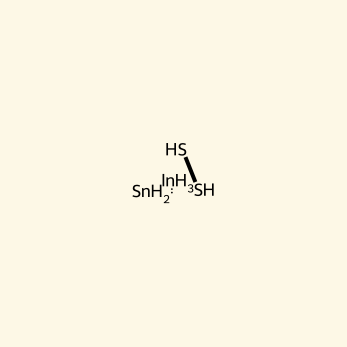 SS.[InH3].[SnH2]